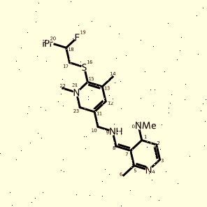 CNC1C=CN=C(C)/C1=C/NCC1=CC(C)=C(SCC(F)C(C)C)N(C)C1